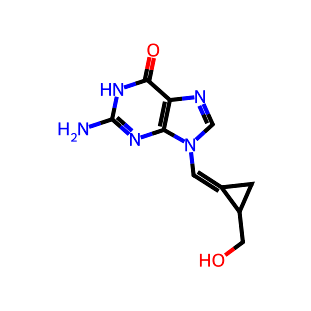 Nc1nc2c(ncn2C=C2CC2CO)c(=O)[nH]1